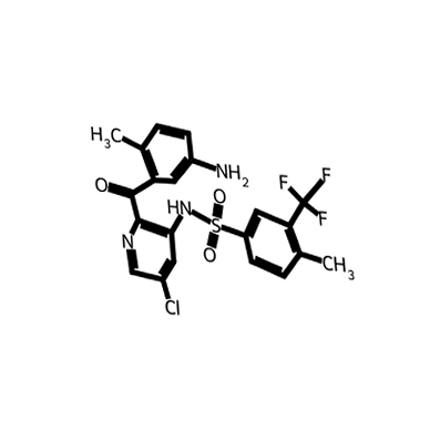 Cc1ccc(N)cc1C(=O)c1ncc(Cl)cc1NS(=O)(=O)c1ccc(C)c(C(F)(F)F)c1